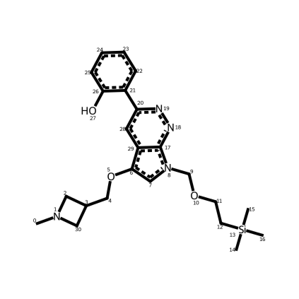 CN1CC(COc2cn(COCC[Si](C)(C)C)c3nnc(-c4ccccc4O)cc23)C1